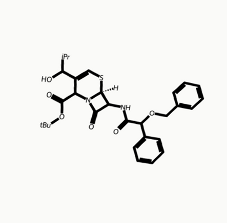 CC(C)C(O)C1=CS[C@H]2C(NC(=O)C(OCc3ccccc3)c3ccccc3)C(=O)N2C1C(=O)OC(C)(C)C